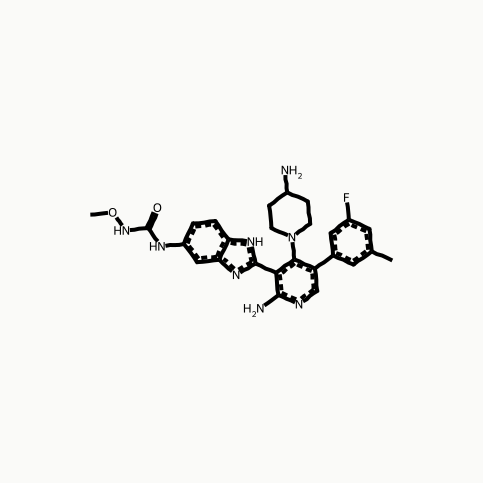 CONC(=O)Nc1ccc2[nH]c(-c3c(N)ncc(-c4cc(C)cc(F)c4)c3N3CCC(N)CC3)nc2c1